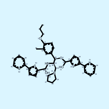 CCCOc1ccc([C@@H](OC(O)c2ccc(-c3ccccn3)s2)[C@@H](CN2CCCC2)N[C@H](O)c2ccc(-c3ccccn3)s2)cc1C